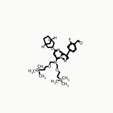 C[Si](C)(C)CCOCN(COCC[Si](C)(C)C)c1cc([C@H]2C[C@@H]3CC[C@@H](C3)C2)nc2c(-c3ccc(C=O)c(F)c3)cnn12